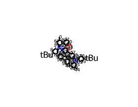 Cc1ccc(N(c2ccc(C(C)(C)C)cc2)c2cc3c(c4oc5ccccc5c24)-c2ccc(N(c4ccc(C(C)(C)C)cc4)c4cc(C)cc(C)c4)cc2C32c3ccccc3-c3ccccc32)cc1